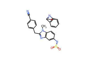 Cn1c(Cc2ccc(C#N)cc2)nc2cc(N=S(=O)=O)ccc21.c1cc2c3nc-2ccc3c1